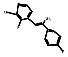 N/C(=C\c1cccc(Cl)c1F)c1ccc(F)cc1